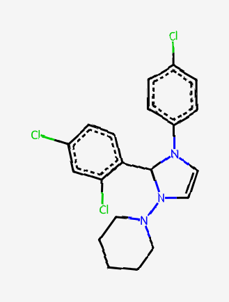 Clc1ccc(N2C=CN(N3CCCCC3)C2c2ccc(Cl)cc2Cl)cc1